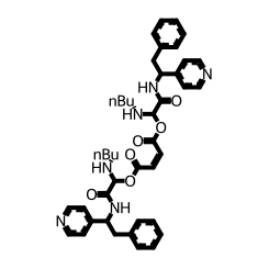 CCCCNC(OC(=O)/C=C\C(=O)OC(NCCCC)C(=O)NC(Cc1ccccc1)c1ccncc1)C(=O)NC(Cc1ccccc1)c1ccncc1